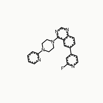 Fc1cc(-c2ccc3ncnc(N4CCN(c5ccccn5)CC4)c3c2)ccn1